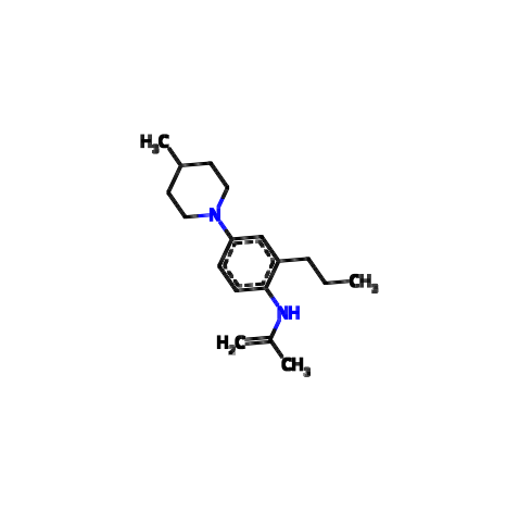 C=C(C)Nc1ccc(N2CCC(C)CC2)cc1CCC